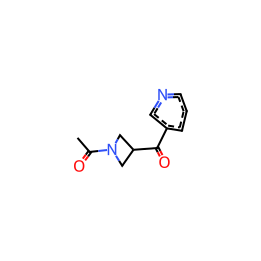 CC(=O)N1CC(C(=O)c2cccnc2)C1